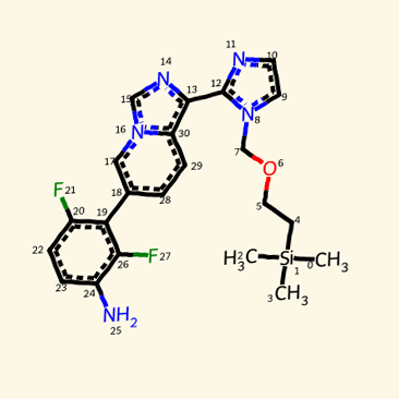 C[Si](C)(C)CCOCn1ccnc1-c1ncn2cc(-c3c(F)ccc(N)c3F)ccc12